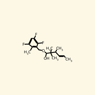 CC=CC(C)C(C)(C)C(O)OCc1c(C)c(F)cc(F)c1F